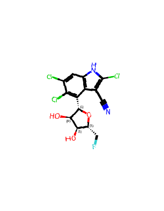 N#Cc1c(Cl)[nH]c2cc(Cl)c(Cl)c([C@@H]3O[C@H](CF)[C@@H](O)[C@H]3O)c12